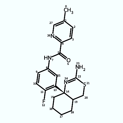 Cc1ccc(C(=O)Nc2ccc(F)c([C@]34CCCCC3CSC(N)=N4)c2)nc1